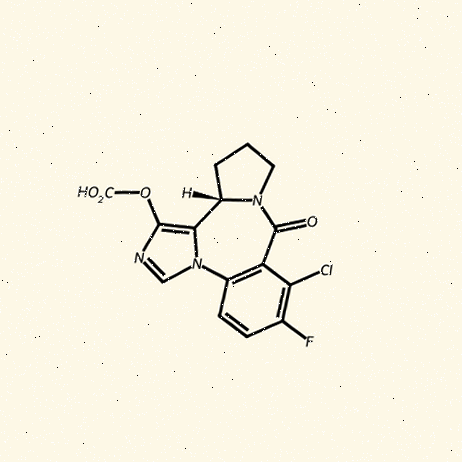 O=C(O)Oc1ncn2c1[C@@H]1CCCN1C(=O)c1c-2ccc(F)c1Cl